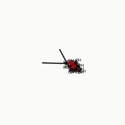 CCCCCCCCCCCCC/C=C/[C@@H](O)[C@H](CO[C@@H]1OC(CO)[C@@H](O[C@@H]2OC(CO)[C@H](O)[C@H](O[C@@H]3OC(CO)[C@@H](O[C@H]4OC(C)[C@@H](O)C(O)[C@@H]4O)[C@H](O[C@@H]4OC(CO)[C@H](O)[C@H](O[C@@H]5OC(CO)[C@@H](O[C@@H]6OC(CO)[C@H](O)[C@H](O)C6O[C@H]6OC(C)[C@@H](O)C(O)[C@@H]6O)[C@H](O[C@H]6OC(C)[C@@H](O)C(O)[C@@H]6O)C5NC(C)=O)C4O)C3NC(C)=O)C2O)[C@H](O)C1O)NC(=O)CCCCCCCCCCCCCCCCCCCCCCC